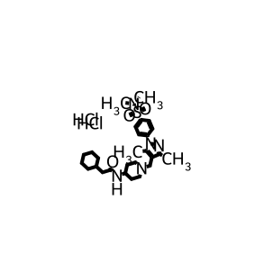 Cc1nn(-c2ccc(S(=O)(=O)N(C)C)cc2)c(C)c1CN1CCC(NC(=O)CC2CCCCC2)CC1.Cl.Cl